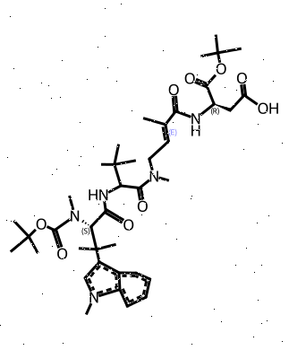 C/C(=C\CN(C)C(=O)C(NC(=O)[C@@H](N(C)C(=O)OC(C)(C)C)C(C)(C)c1cn(C)c2ccccc12)C(C)(C)C)C(=O)N[C@H](CC(=O)O)C(=O)OC(C)(C)C